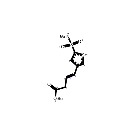 CNS(=O)(=O)c1cc(/C=C/CC(=O)OCC(C)C)cs1